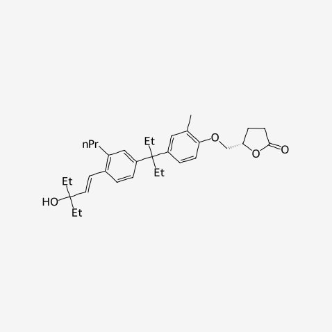 CCCc1cc(C(CC)(CC)c2ccc(OC[C@@H]3CCC(=O)O3)c(C)c2)ccc1C=CC(O)(CC)CC